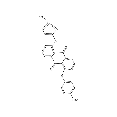 CC(=O)Oc1ccc(Sc2cccc3c2C(=O)c2cccc(Sc4ccc(OC(C)=O)cc4)c2C3=O)cc1